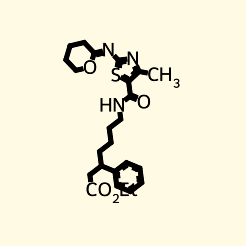 CCOC(=O)CC(CCCCNC(=O)c1sc(N=C2CCCCO2)nc1C)c1ccccc1